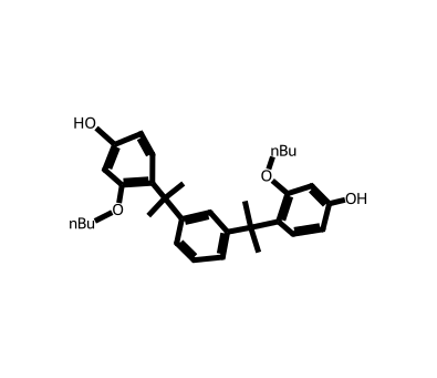 CCCCOc1cc(O)ccc1C(C)(C)c1cccc(C(C)(C)c2ccc(O)cc2OCCCC)c1